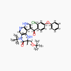 [2H]C([2H])([2H])OCC1(C)Nc2c(cnc3[nH]cc(C(=O)c4ccc(Oc5ccccc5)cc4Cl)c23)N(C([2H])([2H])[2H])C1=O